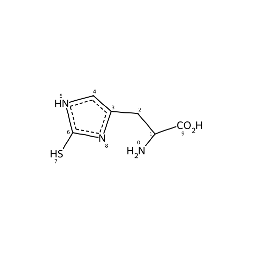 NC(Cc1c[nH]c(S)n1)C(=O)O